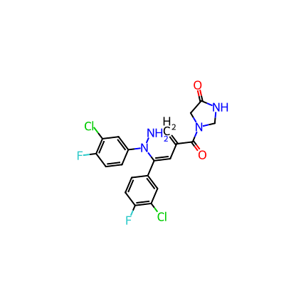 C=C(/C=C(/c1ccc(F)c(Cl)c1)N(N)c1ccc(F)c(Cl)c1)C(=O)N1CNC(=O)C1